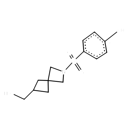 CCC1CC2(C1)CN(S(=O)(=O)c1ccc(C)cc1)C2